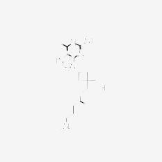 CN(C)CCCC(=O)OCC1(CO)CC(N2CNc3c2nc(N)[nH]c3=O)C1